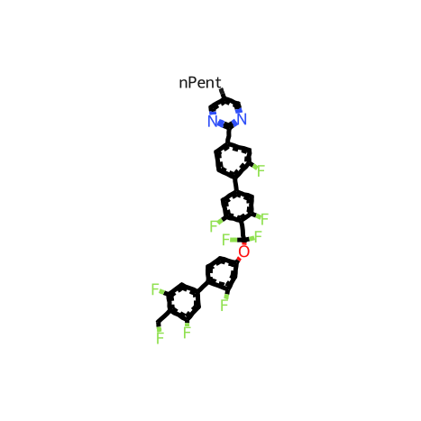 CCCCCc1cnc(-c2ccc(-c3cc(F)c(C(F)(F)Oc4ccc(-c5cc(F)c(CF)c(F)c5)c(F)c4)c(F)c3)c(F)c2)nc1